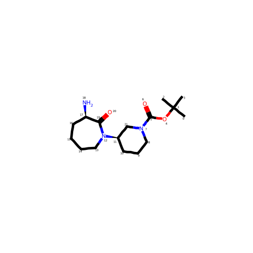 CC(C)(C)OC(=O)N1CCC[C@@H](N2CCCC[C@@H](N)C2=O)C1